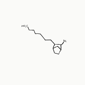 CC(=O)C1C2CCC(C2)C1CCCCCCC(=O)O